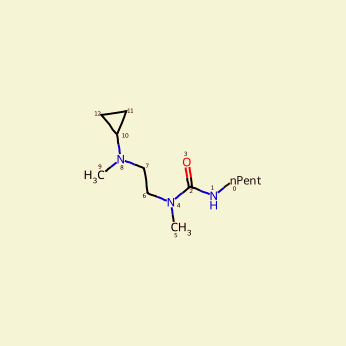 CCCCCNC(=O)N(C)CCN(C)C1CC1